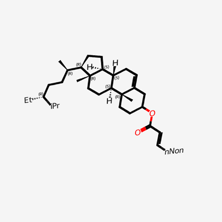 CCCCCCCCCC=CC(=O)OC1CC[C@@]2(C)C(=CC[C@H]3[C@@H]4CC[C@H]([C@H](C)CC[C@@H](CC)C(C)C)[C@@]4(C)CC[C@@H]32)C1